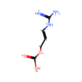 N=C(N)NC=CCOC(=O)O